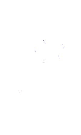 CCc1cc(C2=CCOCC2)ccc1N(C)c1cc2c(cn1)ncn2C